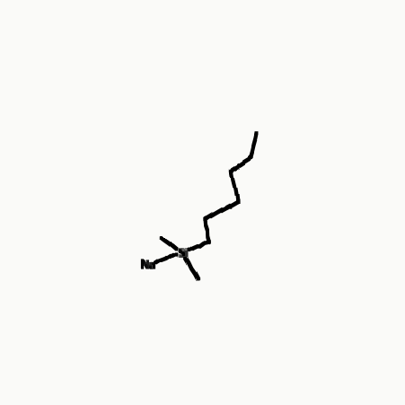 CCCCCC[Si](C)(C)[Na]